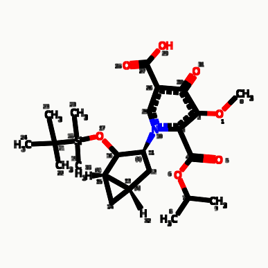 COc1c(C(=O)OC(C)C)n([C@H]2C[C@@H]3C[C@@H]3C2O[Si](C)(C)C(C)(C)C)cc(C(=O)O)c1=O